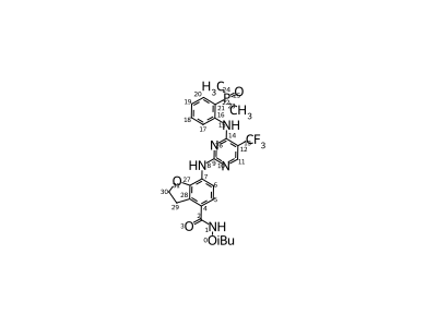 CC(C)CONC(=O)c1ccc(Nc2ncc(C(F)(F)F)c(Nc3ccccc3P(C)(C)=O)n2)c2c1CCO2